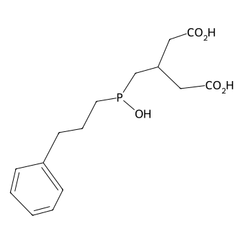 O=C(O)CC(CC(=O)O)CP(O)CCCc1ccccc1